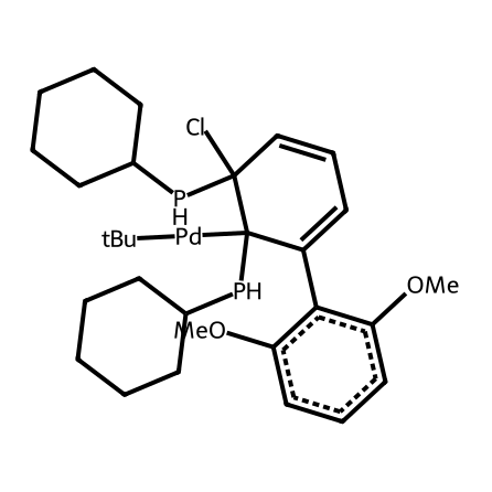 COc1cccc(OC)c1C1=CC=CC(Cl)(PC2CCCCC2)[C]1(PC1CCCCC1)[Pd][C](C)(C)C